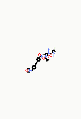 O=C(NC[C@H]1C[C@@H](NC(=O)[C@@H]2C[C@H](F)CN2)C(=O)N1C(=O)C1CC1)c1ccc(C#Cc2ccc(CN3CCOCC3)cc2)cc1